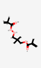 C=C(C)C(=O)OCC(C)(C)COOC(=O)C(=C)C